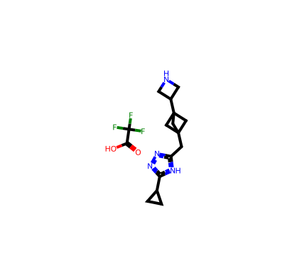 C1CC1c1nnc(CC23CC(C4CNC4)(C2)C3)[nH]1.O=C(O)C(F)(F)F